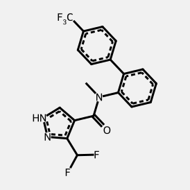 CN(C(=O)c1c[nH]nc1C(F)F)c1ccccc1-c1ccc(C(F)(F)F)cc1